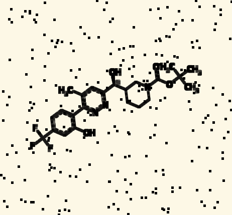 Cc1cc([C@@H](O)C2CCCN(C(=O)OC(C)(C)C)C2)nnc1-c1ccc(C(F)(F)F)cc1O